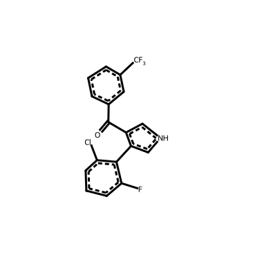 O=C(c1cccc(C(F)(F)F)c1)c1c[nH]cc1-c1c(F)cccc1Cl